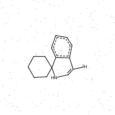 [2H]C1=CNC2(CCCCC2)c2ccccc21